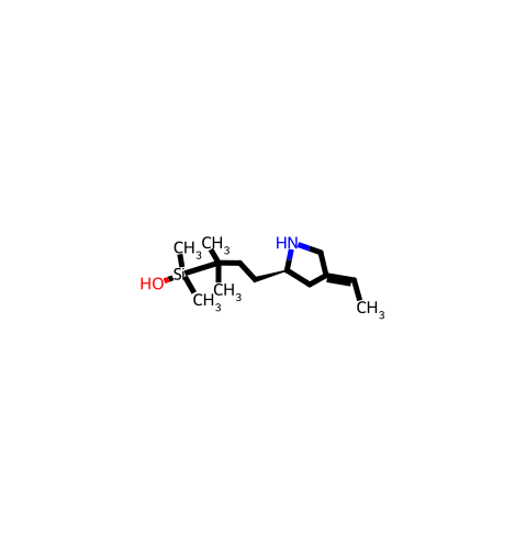 CC=C1CN[C@H](CCC(C)(C)[Si](C)(C)O)C1